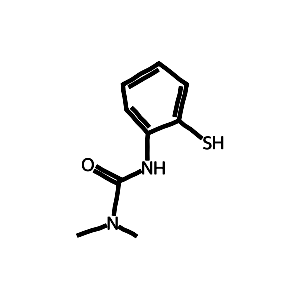 CN(C)C(=O)Nc1ccccc1S